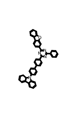 C1=CCC2C(=C1)c1ccccc1N2c1ccc(-c2ccc(-c3nc(-c4ccccc4)nc(-c4ccc5c(c4)oc4ccccc45)n3)cc2)cc1